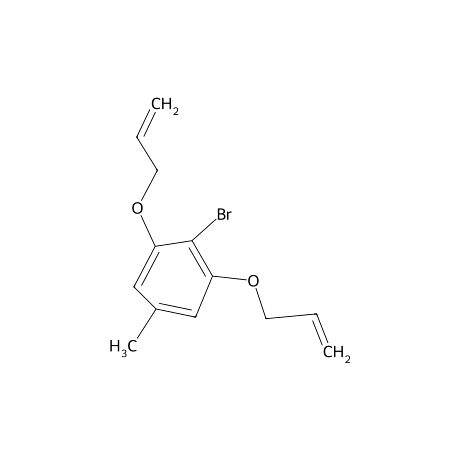 C=CCOc1cc(C)cc(OCC=C)c1Br